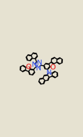 c1ccc2cc3c(cc2c1)c1ccccc1n3-c1cc(-c2nc(-c3cccc4ccccc34)nc(-c3cccc4c3oc3ccccc34)n2)cc2c1oc1c3ccccc3ccc21